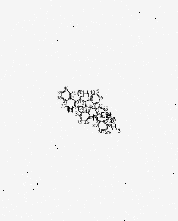 C=C(C1=C(C)C2(c3ccccc31)c1ccccc1-n1c(C)c2cccc(C)c2ccccc21)c1cccc2ccccc12